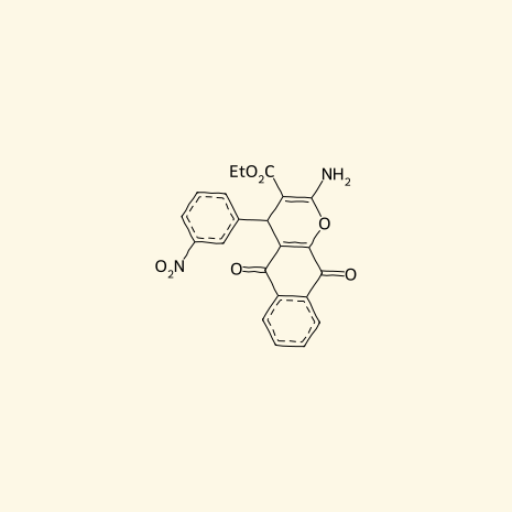 CCOC(=O)C1=C(N)OC2=C(C(=O)c3ccccc3C2=O)C1c1cccc([N+](=O)[O-])c1